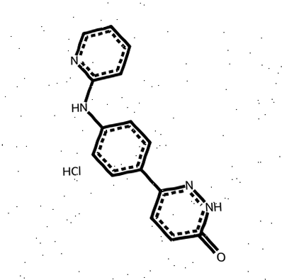 Cl.O=c1ccc(-c2ccc(Nc3ccccn3)cc2)n[nH]1